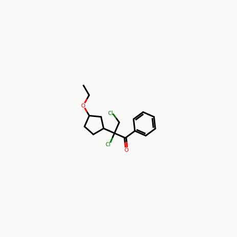 CCOC1CCC(C(Cl)(CCl)C(=O)c2ccccc2)C1